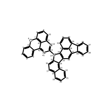 c1ccc2c(c1)Oc1cccc3nc(-n4c5ccc6ccccc6c5c5cc6c7c(cccc7c54)-c4ccccc4-6)nc-2c13